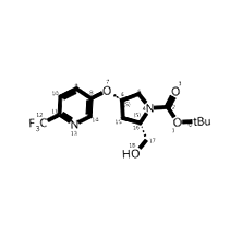 CC(C)(C)OC(=O)N1C[C@@H](Oc2ccc(C(F)(F)F)nc2)C[C@H]1CO